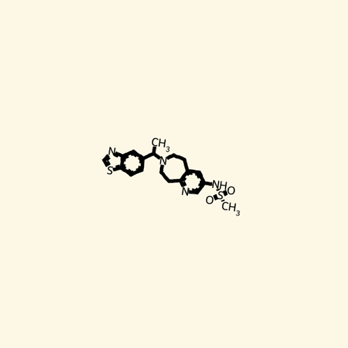 CC(c1ccc2scnc2c1)N1CCc2cc(NS(C)(=O)=O)cnc2CC1